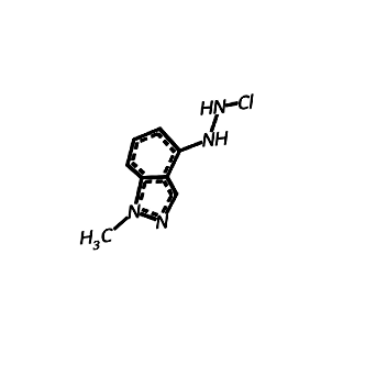 Cn1ncc2c(NNCl)cccc21